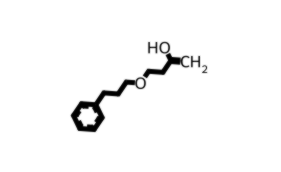 C=C(O)CCOCCCc1ccccc1